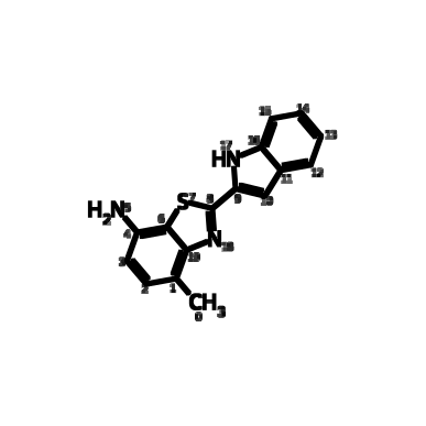 Cc1ccc(N)c2sc(-c3cc4ccccc4[nH]3)nc12